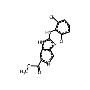 COC(=O)c1cc2[nH]c(Nc3c(Cl)cccc3Cl)nc2cn1